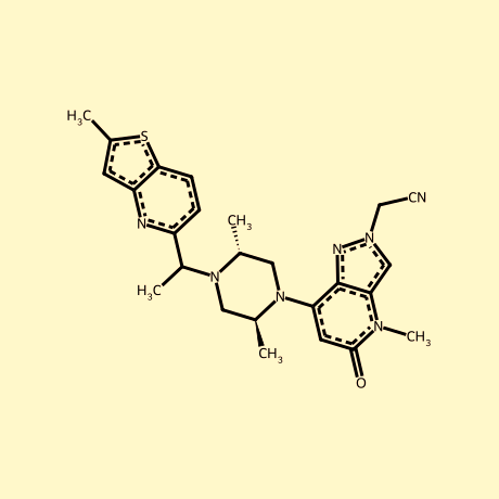 Cc1cc2nc(C(C)N3C[C@H](C)N(c4cc(=O)n(C)c5cn(CC#N)nc45)C[C@H]3C)ccc2s1